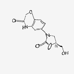 O=C1COc2ccc(N3C[C@@H](CO)OC3=O)cc2N1